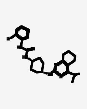 CN(C)c1nc(N[C@H]2CC[C@@H](NC(=S)Nc3ccccc3Br)CC2)nc2c1CCCC2